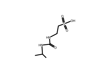 CC(C)NC(=O)NCCS(=O)(=O)O